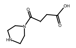 O=C(O)C[CH]C(=O)N1CCNCC1